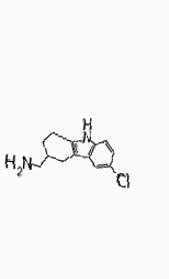 NCC1CCc2[nH]c3ccc(Cl)cc3c2C1